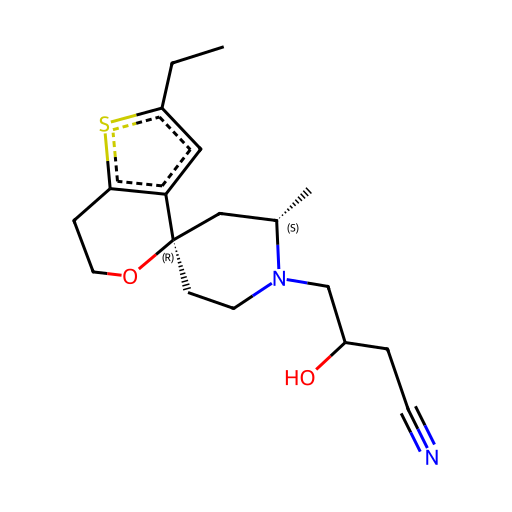 CCc1cc2c(s1)CCO[C@@]21CCN(CC(O)CC#N)[C@@H](C)C1